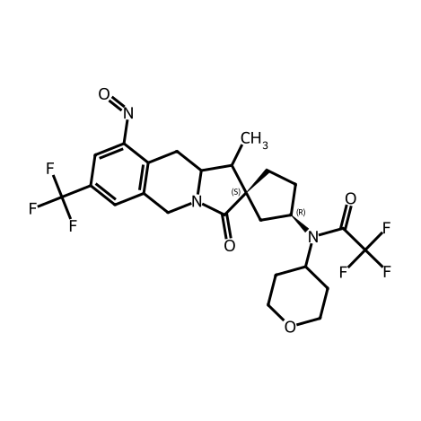 CC1C2Cc3c(cc(C(F)(F)F)cc3N=O)CN2C(=O)[C@]12CC[C@@H](N(C(=O)C(F)(F)F)C1CCOCC1)C2